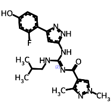 Cc1nn(C)cc1C(=O)/N=C(/NCC(C)C)Nc1cc(-c2ccc(O)cc2F)n[nH]1